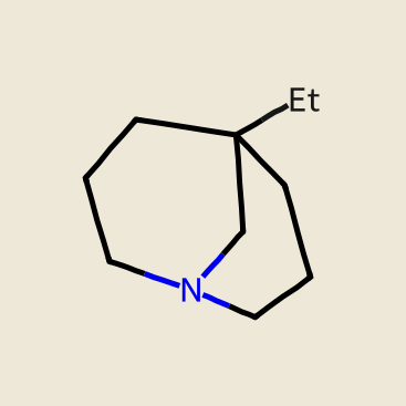 CCC12CCCN(CCC1)C2